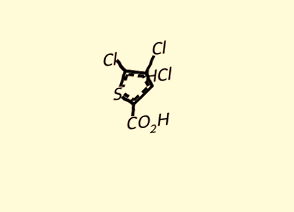 Cl.O=C(O)c1cc(Cl)c(Cl)s1